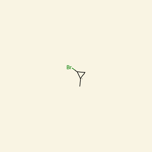 C[C]1CC1Br